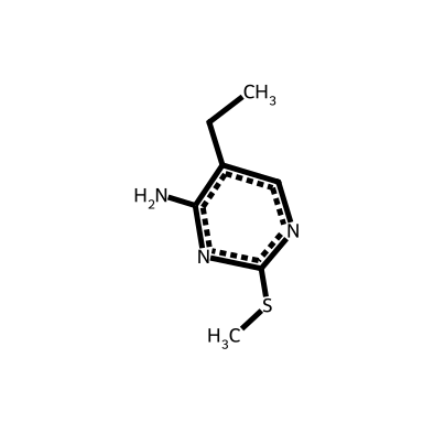 CCc1cnc(SC)nc1N